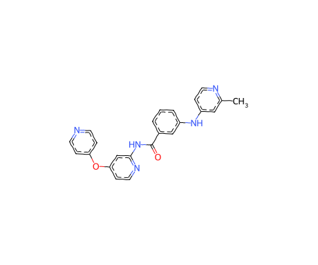 Cc1cc(Nc2cccc(C(=O)Nc3cc(Oc4ccncc4)ccn3)c2)ccn1